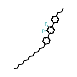 CCCCCCCCCCCCc1ccc(-c2ccc(-c3ccc(CCC)cc3)c(F)c2F)cc1